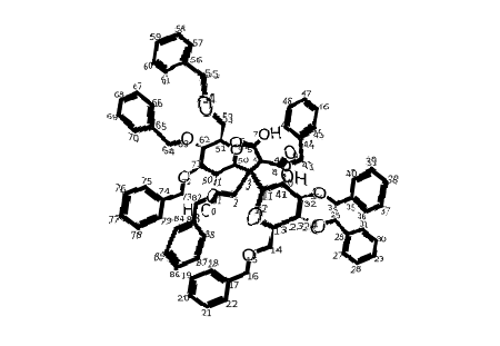 CCCC(C(C(=O)O)C(=O)O)(C1O[C@H](COCc2ccccc2)[C@@H](OCc2ccccc2)[C@H](OCc2ccccc2)[C@H]1OCc1ccccc1)C1O[C@H](COCc2ccccc2)[C@@H](OCc2ccccc2)[C@H](OCc2ccccc2)[C@H]1OCc1ccccc1